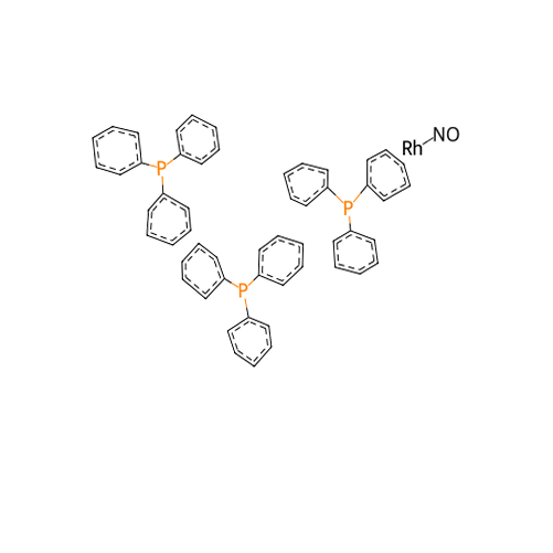 O=[N][Rh].c1ccc(P(c2ccccc2)c2ccccc2)cc1.c1ccc(P(c2ccccc2)c2ccccc2)cc1.c1ccc(P(c2ccccc2)c2ccccc2)cc1